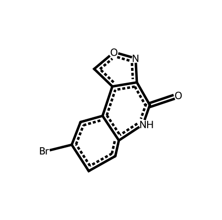 O=c1[nH]c2ccc(Br)cc2c2conc12